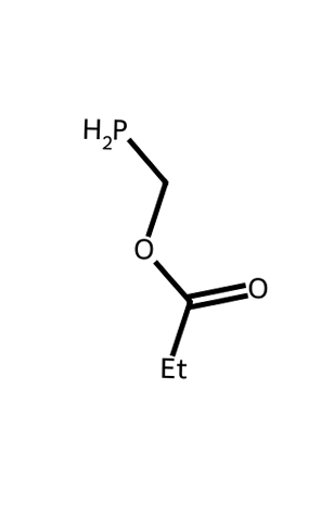 CCC(=O)OCP